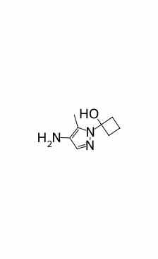 Cc1c(N)cnn1C1(O)CCC1